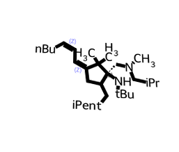 CCCC/C=C\C=C1\CC(CC(C)CCC)[C@](CN(C)CC(C)C)(NC(C)(C)C)C1(C)C